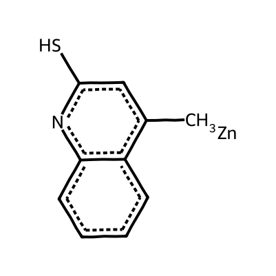 Cc1cc(S)nc2ccccc12.[Zn]